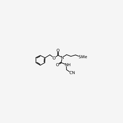 CSCCCN(C(=O)NCC#N)C(=O)OCc1ccccc1